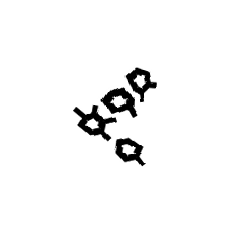 Cc1ccc(C)c(C)c1C.Cc1ccccc1.Cc1ccccc1.Cc1ccccc1C